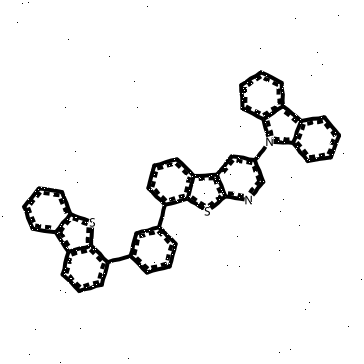 c1cc(-c2cccc3c2sc2ccccc23)cc(-c2cccc3c2sc2ncc(-n4c5ccccc5c5ccccc54)cc23)c1